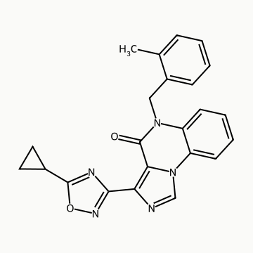 Cc1ccccc1Cn1c(=O)c2c(-c3noc(C4CC4)n3)ncn2c2ccccc21